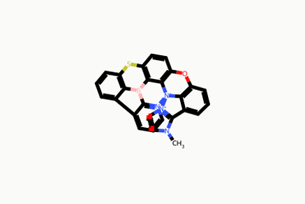 Cn1c2[n+](c3ccccc31)[N+]13c4c(cccc4-2)Oc2ccc4c(c21)B1c2c(cccc2-c2ccc[n+]3c21)S4